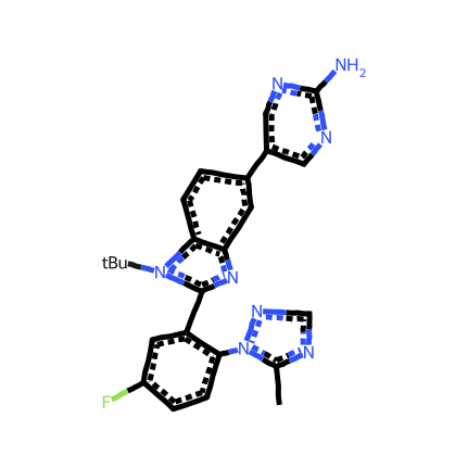 Cc1ncnn1-c1ccc(F)cc1-c1nc2cc(-c3cnc(N)nc3)ccc2n1C(C)(C)C